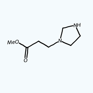 COC(=O)CCN1CCNC1